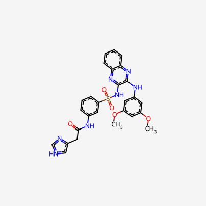 COc1cc(Nc2nc3ccccc3nc2NS(=O)(=O)c2cccc(NC(=O)Cc3c[nH]cn3)c2)cc(OC)c1